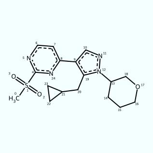 CS(=O)(=O)c1nccc(-c2cnn(C3CCCOC3)c2CC2CC2)n1